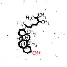 CC(C)C(C)CCCC(C)[C@H]1CC[C@H]2[C@@H]3CC=C4CC[C@@H](O)C[C@]4(C)[C@H]3CC[C@]12C